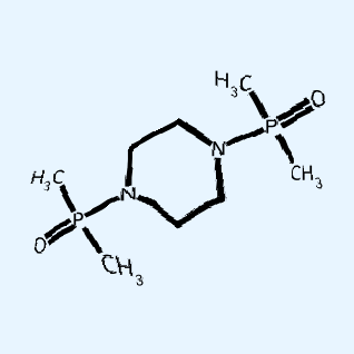 CP(C)(=O)N1CCN(P(C)(C)=O)CC1